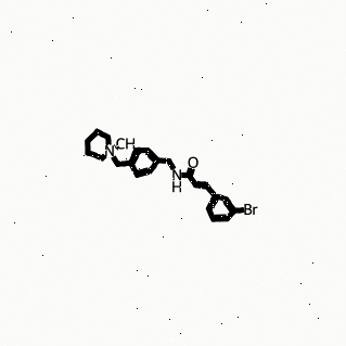 C[N+]1(Cc2ccc(CNC(=O)/C=C/c3cccc(Br)c3)cc2)CCCCC1